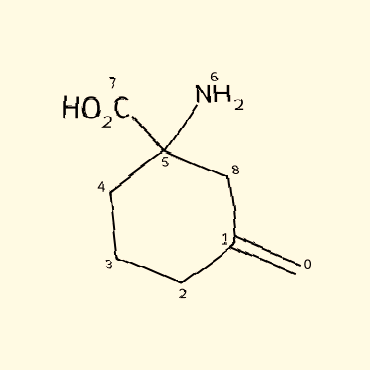 C=C1CCCC(N)(C(=O)O)C1